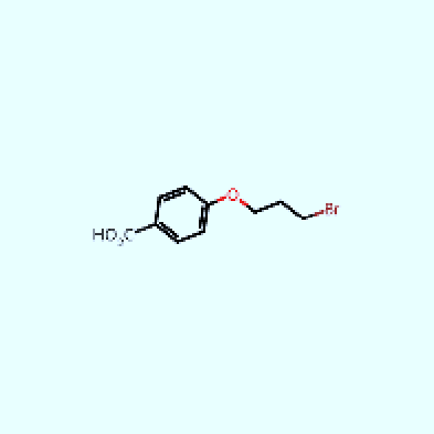 O=C(O)c1ccc(OCCCBr)cc1